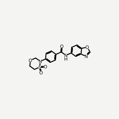 O=C(Nc1ccc2ocnc2c1)c1ccc(N2COCCS2(=O)=O)cc1